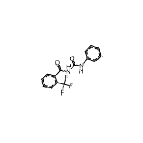 O=C(NC(=O)c1ccccc1C(F)(F)F)Nc1c[c]ccc1